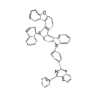 c1ccc(-c2nc(-c3ccc(-n4c5ccccc5c5c6c7ccc8oc9ccccc9c8c7n(-c7cccc8ccccc78)c6ccc54)cc3)nc3ccccc23)cc1